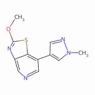 COc1nc2cncc(-c3cnn(C)c3)c2s1